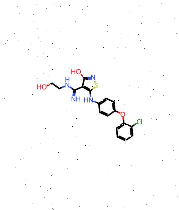 N=C(NCCO)c1c(O)nsc1Nc1ccc(Oc2ccccc2Cl)cc1